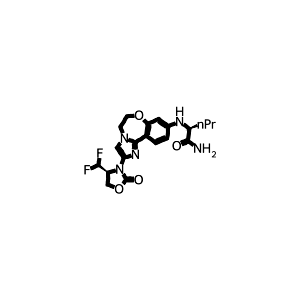 CCC[C@H](Nc1ccc2c(c1)OCCn1cc(N3C(=O)OC[C@H]3C(F)F)nc1-2)C(N)=O